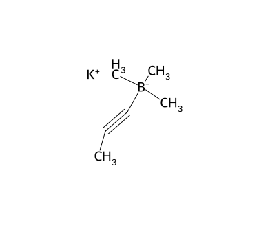 CC#C[B-](C)(C)C.[K+]